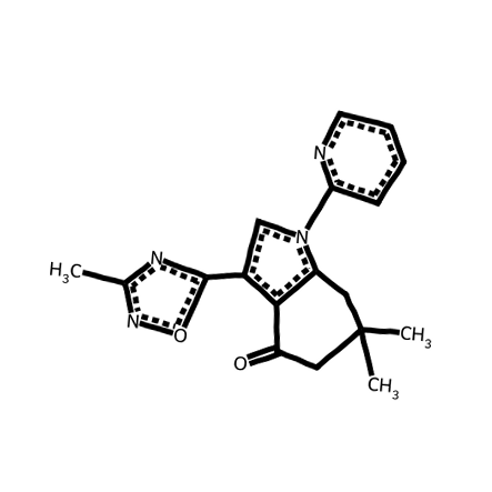 Cc1noc(-c2cn(-c3ccccn3)c3c2C(=O)CC(C)(C)C3)n1